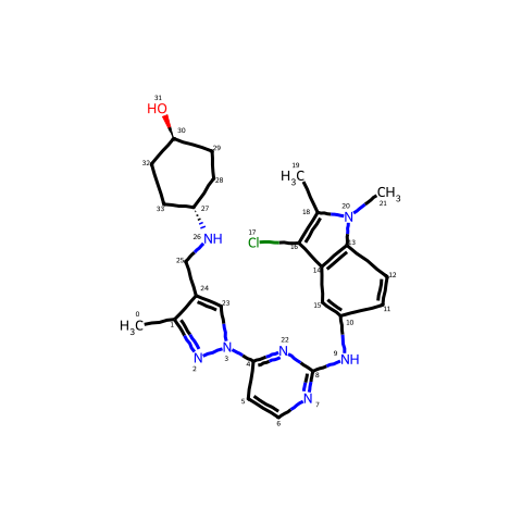 Cc1nn(-c2ccnc(Nc3ccc4c(c3)c(Cl)c(C)n4C)n2)cc1CN[C@H]1CC[C@H](O)CC1